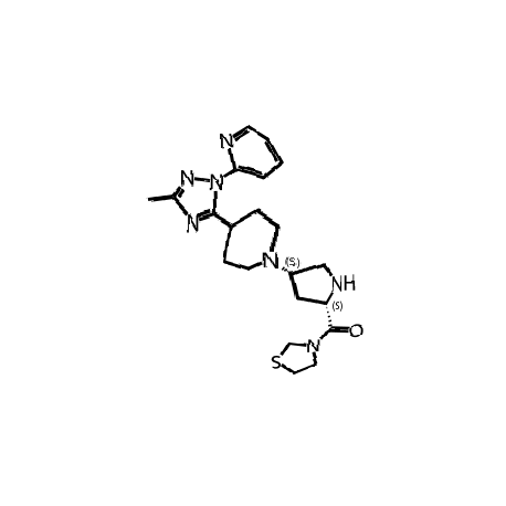 Cc1nc(C2CCN([C@@H]3CN[C@H](C(=O)N4CCSC4)C3)CC2)n(-c2ccccn2)n1